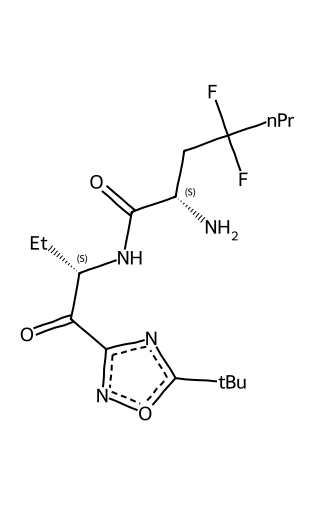 CCCC(F)(F)C[C@H](N)C(=O)N[C@@H](CC)C(=O)c1noc(C(C)(C)C)n1